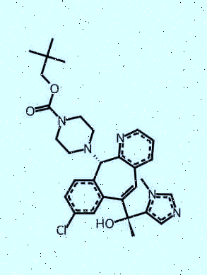 Cn1cncc1[C@](C)(O)C1=Cc2cccnc2[C@@H](N2CCN(C(=O)OCC(C)(C)C)CC2)c2ccc(Cl)cc21